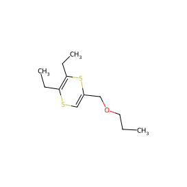 CCCOCC1=CSC(CC)=C(CC)S1